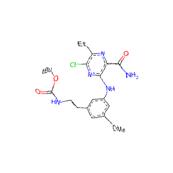 CCc1nc(C(N)=O)c(Nc2cc(CCNC(=O)OC(C)(C)C)cc(OC)c2)nc1Cl